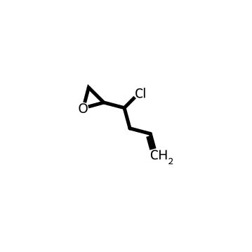 C=CCC(Cl)C1CO1